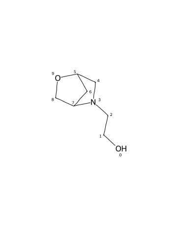 OCCN1CC2CC1CO2